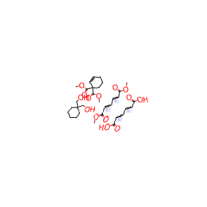 COC(=O)/C=C/C=C/C(=O)OC.COC(=O)C1(C(=O)OC)C=CCCC1.O=C(O)/C=C/C=C/C(=O)O.OCC1(CO)CCCCC1